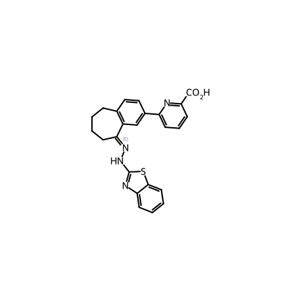 O=C(O)c1cccc(-c2ccc3c(c2)/C(=N/Nc2nc4ccccc4s2)CCCC3)n1